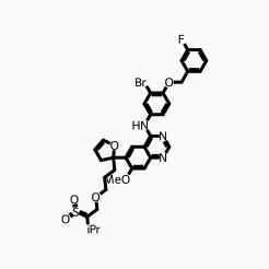 COc1cc2ncnc(Nc3ccc(OCc4cccc(F)c4)c(Br)c3)c2cc1C1(CCCOCC(C(C)C)=S(=O)=O)CC=CO1